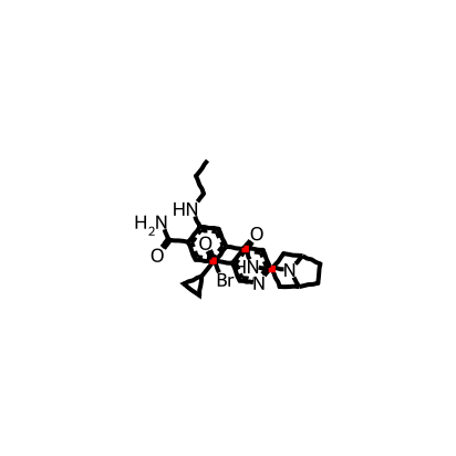 CCCNc1cc(C(=O)NC2CC3CCC(C2)N3c2ccc(C(=O)C3CC3)cn2)c(Br)cc1C(N)=O